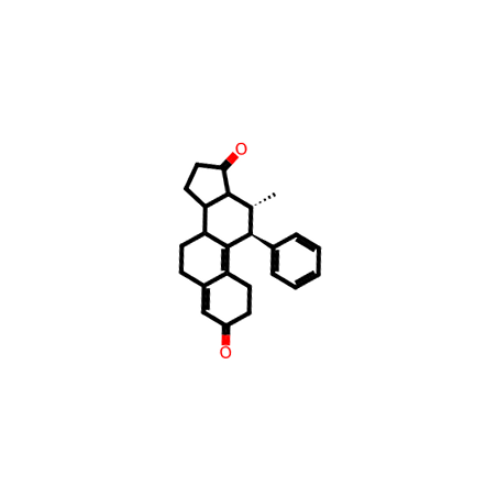 C[C@H]1C2C(=O)CCC2C2CCC3=CC(=O)CCC3=C2[C@@H]1c1ccccc1